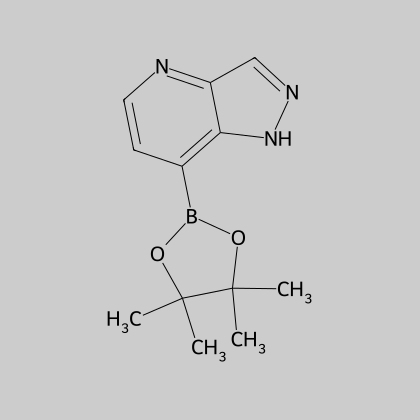 CC1(C)OB(c2ccnc3cn[nH]c23)OC1(C)C